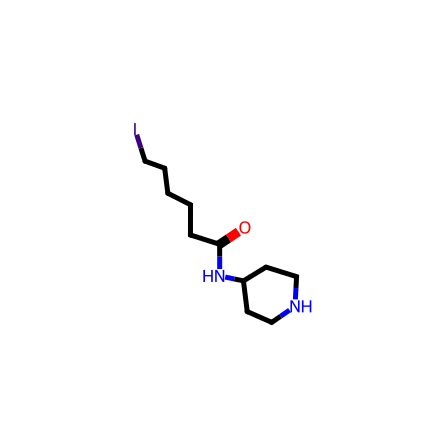 O=C(CCCCCI)NC1CCNCC1